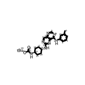 Cc1cccc(Nc2ncnc3cnc(N[C@H]4CC[C@H](NC(=O)OC(C)(C)C)CC4)nc23)c1